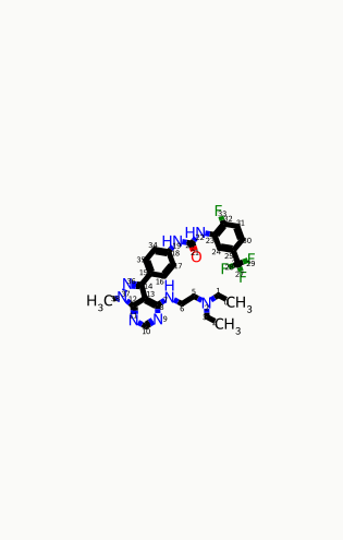 CCN(CC)CCNc1ncnc2c1c(-c1ccc(NC(=O)Nc3cc(C(F)(F)F)ccc3F)cc1)nn2C